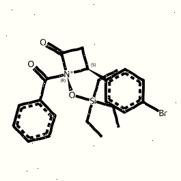 CC[Si](CC)(CC)O[N@@+]1(C(=O)c2ccccc2)C(=O)C[C@H]1c1ccc(Br)cc1